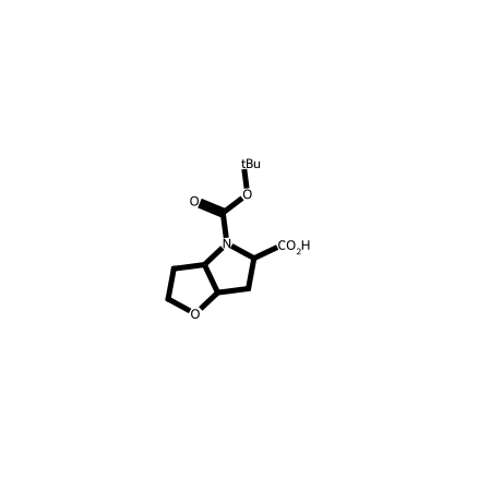 CC(C)(C)OC(=O)N1C(C(=O)O)CC2OCCC21